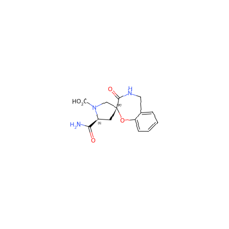 NC(=O)[C@@H]1C[C@]2(CN1C(=O)O)Oc1ccccc1CNC2=O